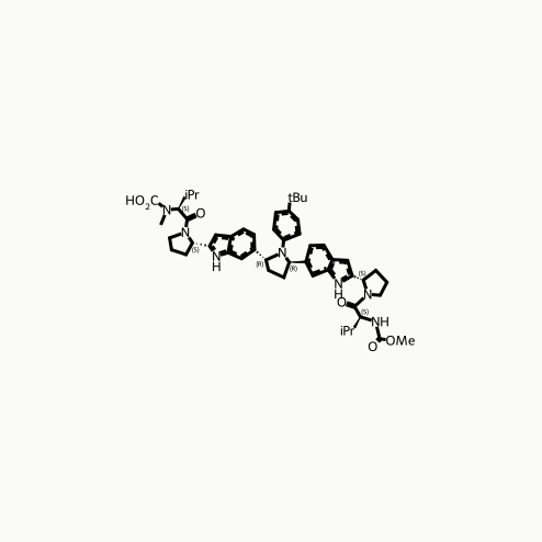 COC(=O)N[C@H](C(=O)N1CCC[C@H]1c1cc2ccc([C@H]3CC[C@H](c4ccc5cc([C@@H]6CCCN6C(=O)[C@H](C(C)C)N(C)C(=O)O)[nH]c5c4)N3c3ccc(C(C)(C)C)cc3)cc2[nH]1)C(C)C